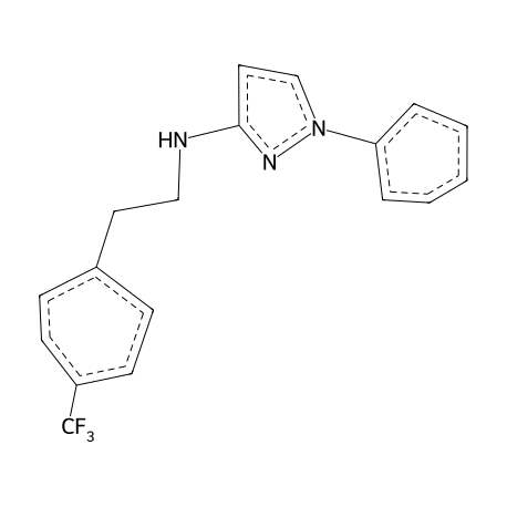 FC(F)(F)c1ccc(CCNc2ccn(-c3ccccc3)n2)cc1